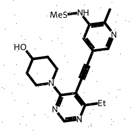 CCc1ncnc(N2CCC(O)CC2)c1C#Cc1cnc(C)c(NSC)c1